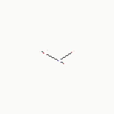 CCCCCCC(CCCC)C(=O)OCCCCCCCCCN(CCCO)CCCCCCCCCOC=O